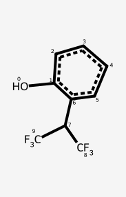 Oc1ccccc1C(C(F)(F)F)C(F)(F)F